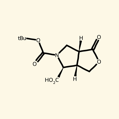 CC(C)(C)OC(=O)N1C[C@@H]2C(=O)OC[C@@H]2[C@H]1C(=O)O